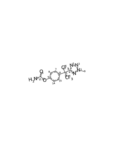 Cn1nnc(C(c2ccc(OC(N)=O)cc2)(C(F)(F)F)C(F)(F)F)n1